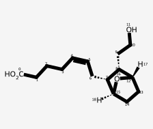 O=C(O)CCC/C=C\C[C@@H]1[C@H](CCO)[C@@H]2CC[C@@H]1O2